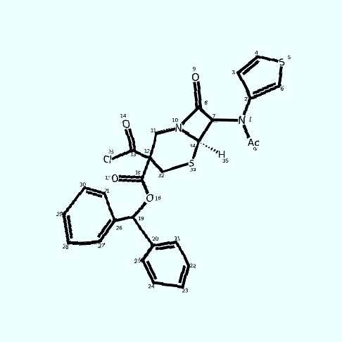 CC(=O)N(c1ccsc1)C1C(=O)N2CC(C(=O)Cl)(C(=O)OC(c3ccccc3)c3ccccc3)CS[C@H]12